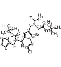 C[C@H](F)[C@@H](Cc1cc2c(N(Cc3ccco3)C(=O)OC(C)(C)C)nc(Cl)nn2c1Br)NC(=O)OC(C)(C)C